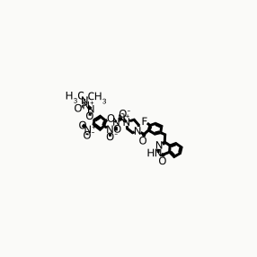 CN(C)/[N+]([O-])=N/Oc1cc(O/N=[N+](\[O-])N2CCN(C(=O)c3cc(Cc4n[nH]c(=O)c5ccccc45)ccc3F)CC2)c([N+](=O)[O-])cc1[N+](=O)[O-]